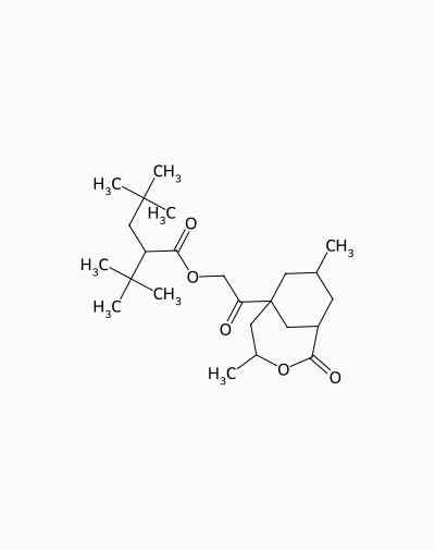 CC1CC2CC(C(=O)COC(=O)C(CC(C)(C)C)C(C)(C)C)(C1)CC(C)OC2=O